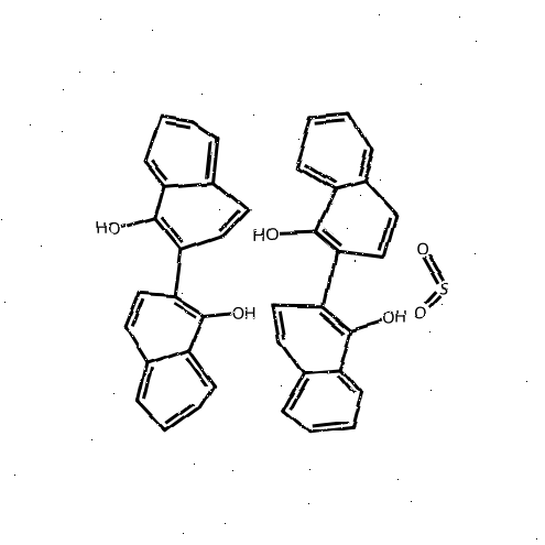 O=S=O.Oc1c(-c2ccc3ccccc3c2O)ccc2ccccc12.Oc1c(-c2ccc3ccccc3c2O)ccc2ccccc12